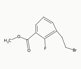 COC(=O)c1cccc(CCBr)c1F